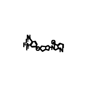 N#Cc1ccc(OC2CC3CC(N4Cc5ncccc5C4=O)CC3C2)cc1C(F)(F)F